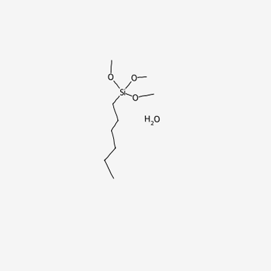 CCCCCC[Si](OC)(OC)OC.O